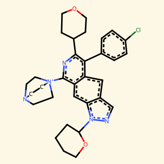 Clc1ccc(-c2c(C3CCOCC3)nc([N+]34CCN(CC3)CC4)c3cc4c(cnn4C4CCCCO4)cc23)cc1